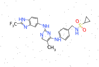 Cc1cnc(Nc2ccc3[nH]c(C(F)(F)F)nc3c2)nc1Nc1ccc(CNS(=O)(=O)C2CC2)cc1